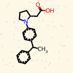 CC(c1ccccc1)c1ccc(N2CCCC2CC(=O)O)cc1